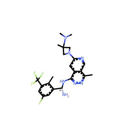 Cc1c([C@@H](N)Nc2nnc(C)c3cnc(N4CC(C)(N(C)C)C4)cc23)cc(F)cc1C(F)(F)F